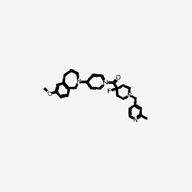 COc1ccc2c(c1)CCCN(C1CCN(C(=O)C3(F)CCN(Cc4ccnc(C)c4)CC3)CC1)C2